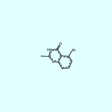 Cc1nc2cccc(C(C)C)c2c(=O)[nH]1